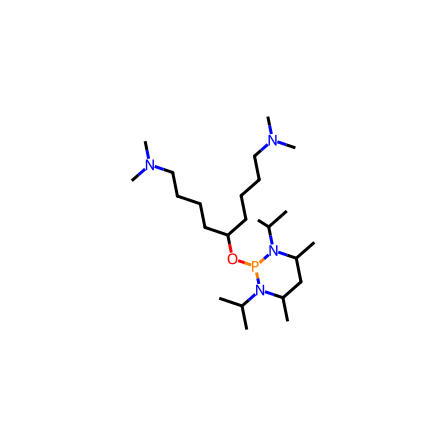 CC(C)N1C(C)CC(C)N(C(C)C)P1OC(CCCCN(C)C)CCCCN(C)C